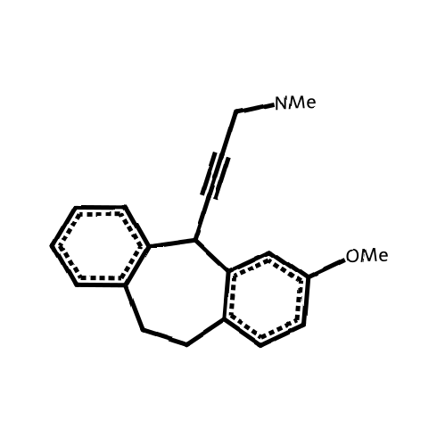 CNCC#CC1c2ccccc2CCc2ccc(OC)cc21